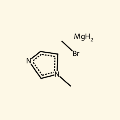 CBr.Cn1ccnc1.[MgH2]